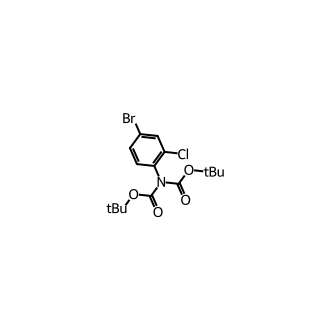 CC(C)(C)OC(=O)N(C(=O)OC(C)(C)C)c1ccc(Br)cc1Cl